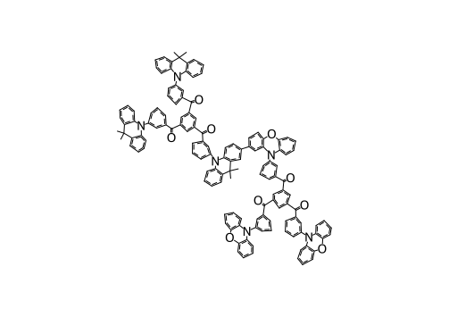 CC1(C)c2ccccc2N(c2cccc(C(=O)c3cc(C(=O)c4cccc(N5c6ccccc6C(C)(C)c6ccccc65)c4)cc(C(=O)c4cccc(N5c6ccccc6C(C)(C)c6cc(-c7ccc8c(c7)N(c7cccc(C(=O)c9cc(C(=O)c%10cccc(N%11c%12ccccc%12Oc%12ccccc%12%11)c%10)cc(C(=O)c%10cccc(N%11c%12ccccc%12Oc%12ccccc%12%11)c%10)c9)c7)c7ccccc7O8)ccc65)c4)c3)c2)c2ccccc21